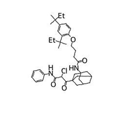 CCC(C)(C)c1ccc(OCCCC(=O)NC23CC4CC(C2)CC(C(=O)C(Cl)C(=O)Nc2ccccc2)(C4)C3)c(C(C)(C)CC)c1